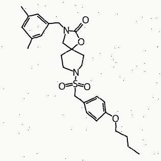 CCCCOc1ccc(CS(=O)(=O)N2CCC3(CC2)CN(Cc2cc(C)cc(C)c2)C(=O)O3)cc1